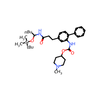 CCCCC(NC(=O)CCc1ccc(-c2ccccc2)c(NC(=O)OC2CCN(C)CC2)c1)O[Si](C)(C)C(C)(C)C